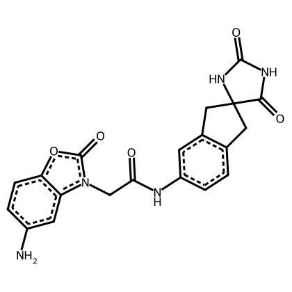 Nc1ccc2oc(=O)n(CC(=O)Nc3ccc4c(c3)CC3(C4)NC(=O)NC3=O)c2c1